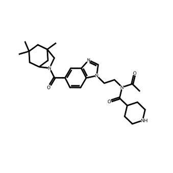 CC(=O)N(CCn1cnc2cc(C(=O)N3CC4(C)CC3CC(C)(C)C4)ccc21)C(=O)C1CCNCC1